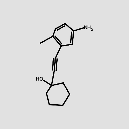 Cc1ccc(N)cc1C#CC1(O)CCCCC1